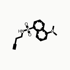 C#CCCNS(=O)(=O)c1cccc2c(N(C)C)cccc12